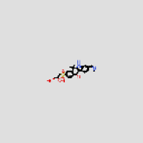 C/N=C\c1ccc2c3c([nH]c2c1)C(C)(C)c1cc(S(=O)(=O)CC(O)CO)ccc1C3=O